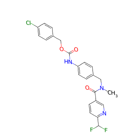 CN(Cc1ccc(NC(=O)OCc2ccc(Cl)cc2)cc1)C(=O)c1ccc(C(F)F)nc1